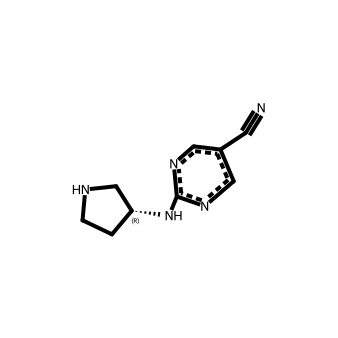 N#Cc1cnc(N[C@@H]2CCNC2)nc1